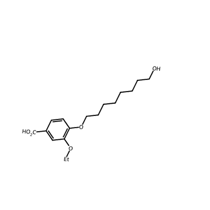 CCOc1cc(C(=O)O)ccc1OCCCCCCCCO